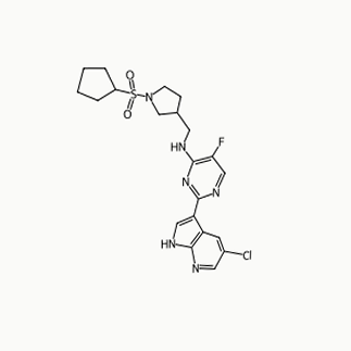 O=S(=O)(C1CCCC1)N1CCC(CNc2nc(-c3c[nH]c4ncc(Cl)cc34)ncc2F)C1